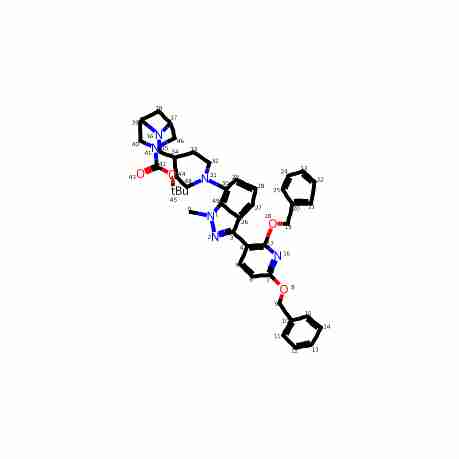 Cn1nc(-c2ccc(OCc3ccccc3)nc2OCc2ccccc2)c2cccc(N3CCC(CN4C5CC4CN(C(=O)OC(C)(C)C)C5)CC3)c21